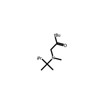 CC(C)C(C)(C)N(C)CC(=O)C(C)(C)C